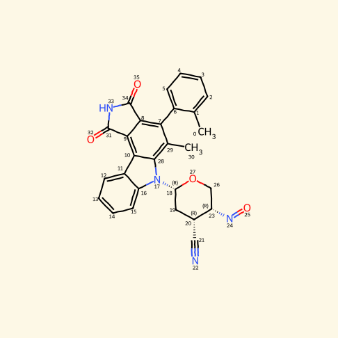 Cc1ccccc1-c1c2c(c3c4ccccc4n([C@H]4C[C@@H](C#N)[C@@H](N=O)CO4)c3c1C)C(=O)NC2=O